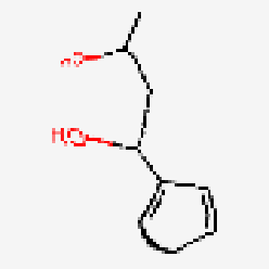 CC(O)CC(O)C1=CCC=C1